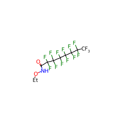 CCONC(=O)C(F)(F)C(F)(F)C(F)(F)C(F)(F)C(F)(F)C(F)(F)C(F)(F)F